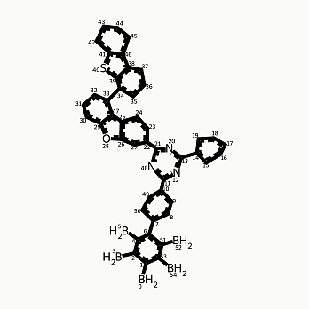 Bc1c(B)c(B)c(-c2ccc(-c3nc(-c4ccccc4)nc(-c4ccc5c(c4)oc4cccc(-c6cccc7c6sc6ccccc67)c45)n3)cc2)c(B)c1B